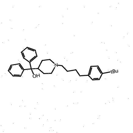 CC(C)(C)c1ccc(CCCCN2CCC(C(O)(c3ccccc3)c3ccccc3)CC2)cc1